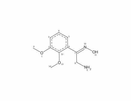 COc1cccc(C(CN)=NO)c1OC